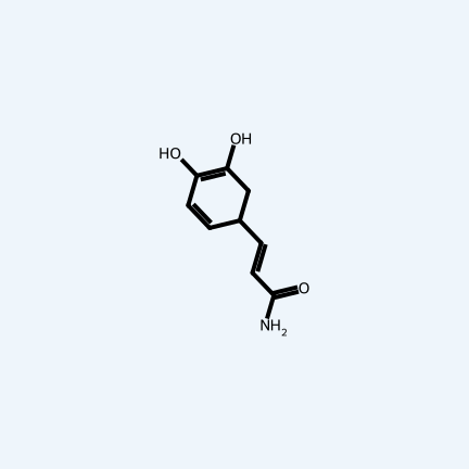 NC(=O)C=CC1C=CC(O)=C(O)C1